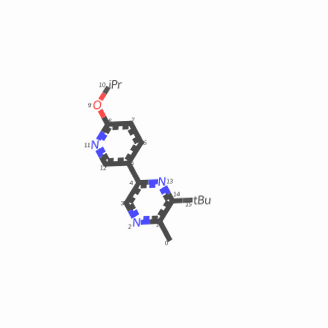 Cc1ncc(-c2ccc(OC(C)C)nc2)nc1C(C)(C)C